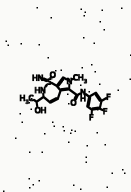 CC(O)C1C=Cc2c(cn(C)c2C(=O)Nc2cc(F)c(F)c(F)c2)S(=N)(=O)N1